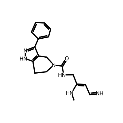 CN/C(=C\C=N)CNC(=O)N1CCc2[nH]nc(-c3ccccc3)c2C1